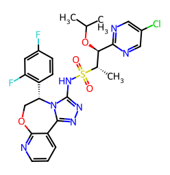 CC(C)O[C@@H](c1ncc(Cl)cn1)[C@H](C)S(=O)(=O)Nc1nnc2n1[C@@H](c1ccc(F)cc1F)COc1ncccc1-2